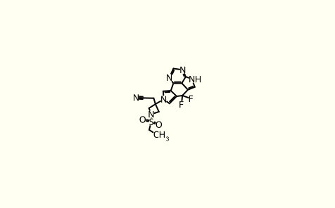 CCS(=O)(=O)N1CC(CC#N)(n2cc3c(c2)C(F)(F)c2c[nH]c4ncnc-3c24)C1